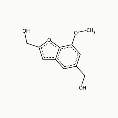 COc1cc(CO)cc2cc(CO)oc12